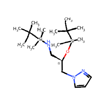 CC(C)(C)[Si](C)(C)NC[C@H](Cn1cccn1)O[Si](C)(C)C(C)(C)C